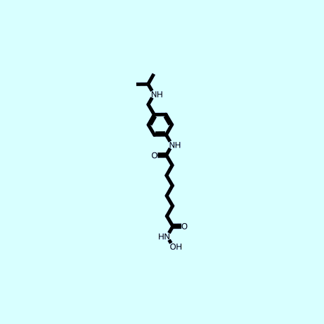 CC(C)NCc1ccc(NC(=O)CCCCCCC(=O)NO)cc1